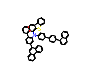 c1ccc(-c2ccc(-c3cc4ccccc4c4ccccc34)cc2N(c2ccc(-c3ccc(-c4cccc5ccccc45)cc3)cc2)c2cccc3c2sc2ccccc23)cc1